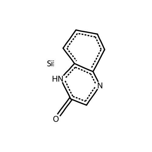 O=c1cnc2ccccc2[nH]1.[Si]